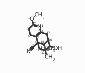 COC1=NC2=C(CC1)C1(C#N)CC(C)C(O)C(C2)[C@@H]1C